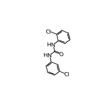 O=C(Nc1cccc(Cl)c1)Nc1ccccc1Cl